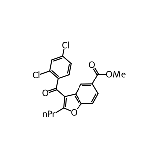 CCCc1oc2ccc(C(=O)OC)cc2c1C(=O)c1ccc(Cl)cc1Cl